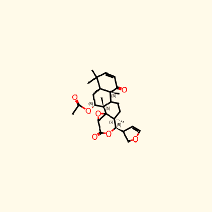 CC(=O)O[C@@H]1CC2C(C)(C)C=CC(=O)[C@]2(C)C2CC[C@@]3(C)[C@@H](C4C=COC4)OC(=O)C4OC43[C@@]21C